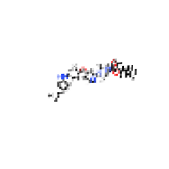 Cc1ccc(N[C@H]2CC[C@H](Oc3ccnc(N4CCN(C(=O)OC(C)(C)C)CC4)c3)CC2)cc1